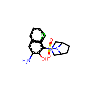 Nc1ccc(Cl)c(S(=O)(=O)N2C3CCC2CN(Cc2ccccc2)C3)c1O